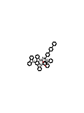 c1ccc(-c2ccc(-c3ccc(-c4nc(-c5ccccc5)nc(-n5c6ccccc6c6c(-n7c8ccccc8c8ccccc87)cc7c8ccccc8n(-c8ccc(-c9ccccc9)cc8)c7c65)n4)cc3)cc2)cc1